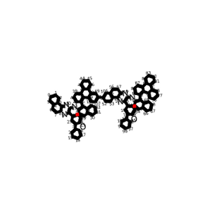 c1ccc2c(c1)ccc1nc(-c3ccc4oc5ccccc5c4c3)c(-n3c4ccc5ccccc5c4c4c5c(ccc43)c3ccccc3c3cc(-c4ccc6c(ccc7nc(-n8c9ccc%10ccccc%10c9c9c%10c%11ccccc%11c%11ccccc%11c%10ccc98)c(-c8ccc9oc%10ccccc%10c9c8)nc76)c4)ccc35)nc12